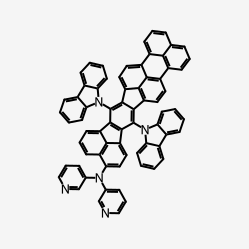 c1cncc(N(c2cccnc2)c2ccc3c4c(-n5c6ccccc6c6ccccc65)c5c6ccc7c8cccc9cccc(c%10ccc(c5c(-n5c%11ccccc%11c%11ccccc%115)c4c4cccc2c43)c6c%107)c98)c1